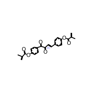 C=C(C)C(=O)Oc1ccc(/C=C/C(=O)C(=O)c2ccc(OC(=O)C(=C)C)cc2)cc1